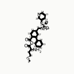 CSCC[C@H](N)C(=O)OC(=O)c1ccc(CNS(=O)(=O)Sc2cccnc2)cc1-c1ccccc1